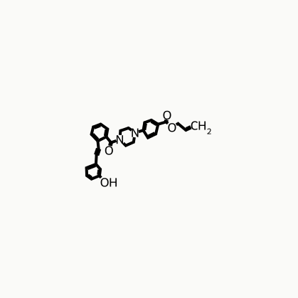 C=CCOC(=O)c1ccc(N2CCN(C(=O)c3ccccc3C#Cc3cccc(O)c3)CC2)cc1